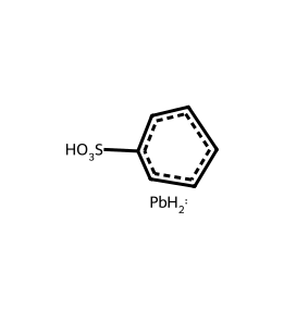 O=S(=O)(O)c1ccccc1.[PbH2]